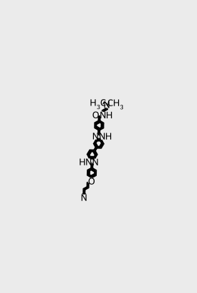 CN(C)CCNC(=O)c1ccc(-c2nc3cc(-c4ccc5[nH]c(-c6ccc(OCCCC#N)cc6)nc5c4)ccc3[nH]2)cc1